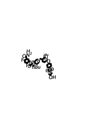 CCCCN(C(=O)Nc1cc(C(N)=O)c(F)cc1F)C1CCN(Cc2ccc(Oc3ccc(S(=O)(=O)N4CC(O)C4)cc3)nc2C(C)C)CC1